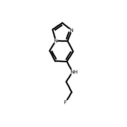 FCCNc1ccn2ccnc2c1